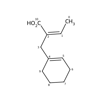 CC=C(CC1=CCCCC1)C(=O)O